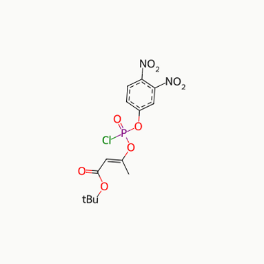 CC(=CC(=O)OC(C)(C)C)OP(=O)(Cl)Oc1ccc([N+](=O)[O-])c([N+](=O)[O-])c1